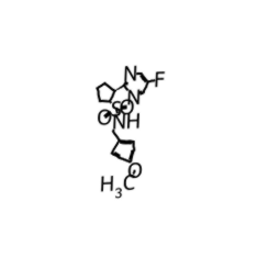 COc1ccc(CNS(=O)(=O)[C@H]2CCC[C@H]2c2ncc(F)cn2)cc1